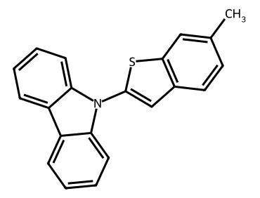 Cc1ccc2cc(-n3c4ccccc4c4ccccc43)sc2c1